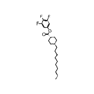 CCCCCCCCCC[C@H]1CC[C@H](C(=O)Oc2cc(F)c(F)c(F)c2)CC1